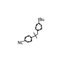 CC(C)(C)c1ccc(CC(C)(C)c2ccc(C#N)cc2)cc1